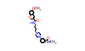 CNC(=O)c1cccc(N2CCN(CCCCNC(=O)C3=Cc4cc(OC)ccc4OC3)CC2)c1